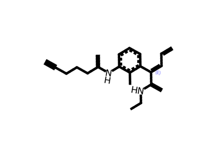 C#CCCCC(=C)Nc1cccc(/C(=C\C=C)C(=C)NCC)c1C